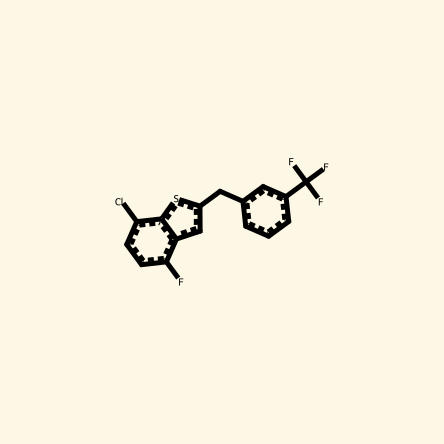 Fc1ccc(Cl)c2sc(Cc3cccc(C(F)(F)F)c3)cc12